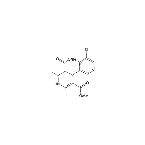 COC(=O)C1=C(C)NC(C)C(C(=O)OC)C1c1cccc(Cl)c1Cl